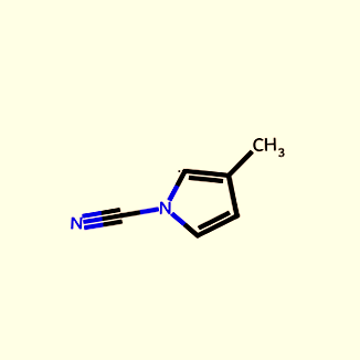 Cc1[c]n(C#N)cc1